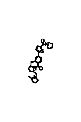 CC1CCCN1CC1CCCN1C(=O)c1ccc(-c2ccc(C(=O)N3CCCC3)s2)cc1F